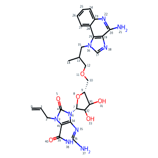 C=CCn1c(=O)n([C@@H]2O[C@H](COCC(C)Cn3cnc4c(N)nc5ccccc5c43)C(O)C2O)c2nc(N)[nH]c(=O)c21